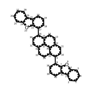 c1ccc2c(c1)oc1c(-c3ccc4ccc5c(-c6cccc7c6oc6ccccc67)ccc6ccc3c4c65)cccc12